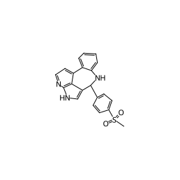 CS(=O)(=O)c1ccc(C2Nc3ccccc3-c3ccnc4[nH]cc2c34)cc1